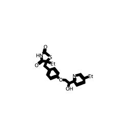 CCc1ccc(C(O)COc2ccc(CC3(CC)SC(=O)NC3=O)cc2)nc1